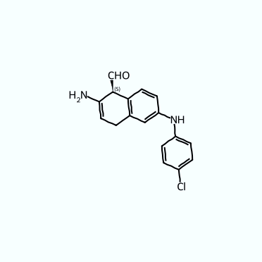 NC1=CCc2cc(Nc3ccc(Cl)cc3)ccc2[C@@H]1C=O